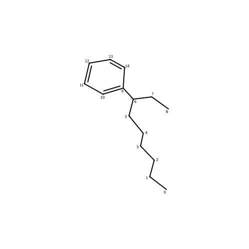 CCCCCC[C](CC)c1ccccc1